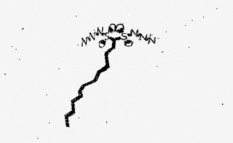 CCCCCCCCCCCC(S(=O)(=O)N=[N+]=[N-])S(=O)(=O)N=[N+]=[N-]